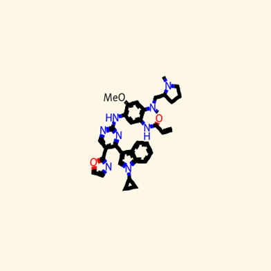 C=CC(=O)Nc1cc(Nc2ncc(-c3ncco3)c(-c3cn(C4CC4)c4ccccc34)n2)c(OC)cc1N(C)CC1CCCN1C